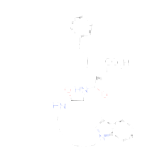 O=C(O)C[C@@H](CCCc1ccccc1)C(=O)NC1Cc2cn(c3ccccc23)CCCCCCNC1=O